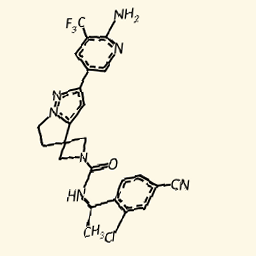 C[C@@H](NC(=O)N1CC2(CCn3nc(-c4cnc(N)c(C(F)(F)F)c4)cc32)C1)c1ccc(C#N)cc1Cl